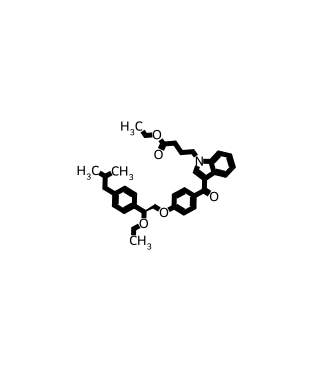 CCOC(=O)CCCn1cc(C(=O)c2ccc(OC[C@@H](OCC)c3ccc(CC(C)C)cc3)cc2)c2ccccc21